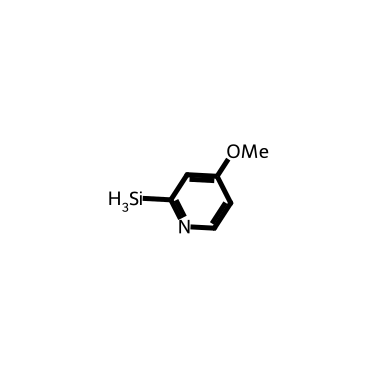 COc1ccnc([SiH3])c1